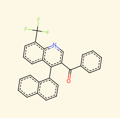 O=C(c1ccccc1)c1cnc2c(C(F)(F)F)cccc2c1-c1cccc2ccccc12